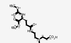 CN(CCNC(=O)CC[C@H](NC(=O)OC(C)(C)C)C(=O)OC(C)(C)C)CCC(=O)O